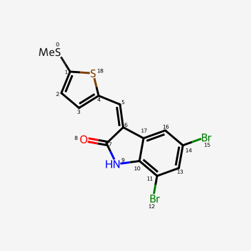 CSc1ccc(C=C2C(=O)Nc3c(Br)cc(Br)cc32)s1